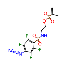 C=C(C)S(=O)(=O)OCCNS(=O)(=O)c1c(F)c(F)c(N=[N+]=[N-])c(F)c1F